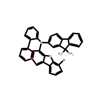 CC1(C)c2ccccc2-c2ccc(N(c3ccccc3-c3ccccc3)c3cccc4c3oc3c(Br)cccc34)cc21